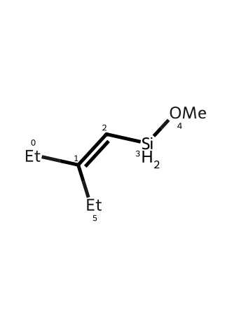 CCC(=C[SiH2]OC)CC